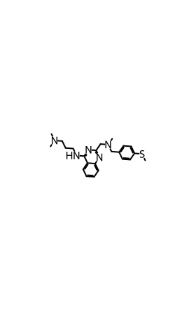 CSc1ccc(CN(C)Cc2nc(NCCCN(C)C)c3ccccc3n2)cc1